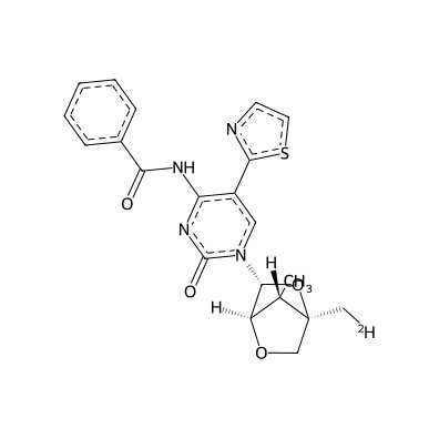 [2H]C[C@@]12CO[C@@H]([C@H](n3cc(-c4nccs4)c(NC(=O)c4ccccc4)nc3=O)O1)[C@@H]2C